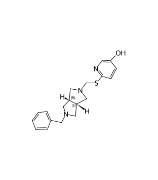 Oc1ccc(SCN2C[C@@H]3CN(Cc4ccccc4)C[C@@H]3C2)nc1